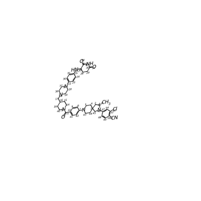 C[C@H]1CC2(CCN(c3ccc(C(=O)N4CCC(CN5CCN(c6ccc(N[C@@H]7CCC(=O)NC7=O)cc6)CC5)CC4)cc3)CC2)CN1c1ccc(C#N)c(Cl)c1